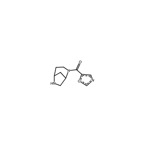 O=C(c1cnco1)N1CCC2CC1CN2